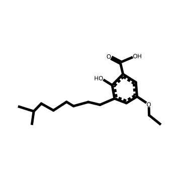 CCOc1cc(CCCCCCC(C)C)c(O)c(C(=O)O)c1